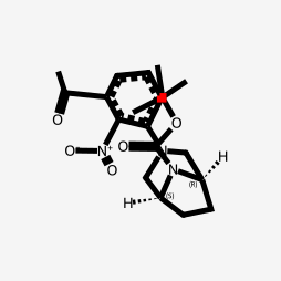 CC(=O)c1cccc(N2C[C@H]3CC[C@@H](C2)N3C(=O)OC(C)(C)C)c1[N+](=O)[O-]